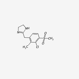 Cc1c(CC2=NCCN2)ccc(S(C)(=O)=O)c1Cl